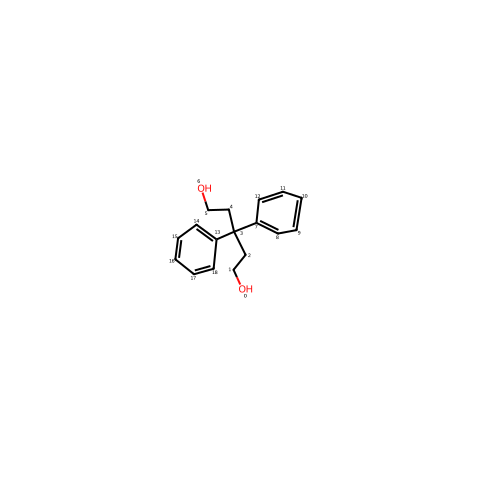 OCCC(CCO)(c1ccccc1)c1ccccc1